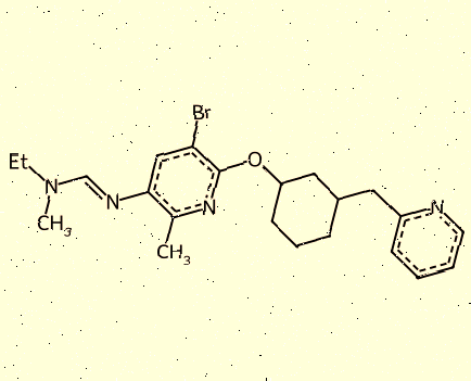 CCN(C)/C=N/c1cc(Br)c(OC2CCCC(Cc3ccccn3)C2)nc1C